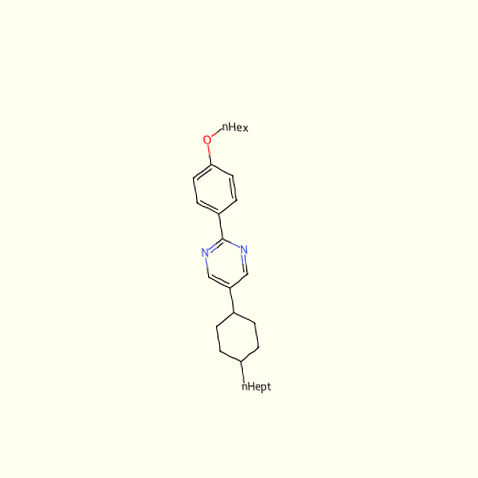 CCCCCCCC1CCC(c2cnc(-c3ccc(OCCCCCC)cc3)nc2)CC1